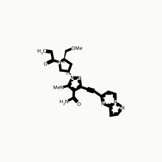 C=CC(=O)N1C[C@@H](n2nc(C#Cc3ccn4nccc4n3)c(C(N)=O)c2NC)C[C@@H]1COC